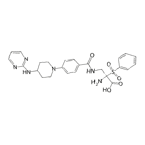 NC(CNC(=O)c1ccc(N2CCC(Nc3ncccn3)CC2)cc1)(C(=O)O)S(=O)(=O)c1ccccc1